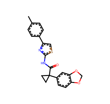 Cc1ccc(-c2csc(NC(=O)C3(c4ccc5c(c4)OCO5)CC3)n2)cc1